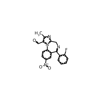 Cc1nc2n(c1C=O)-c1ccc([N+](=O)[O-])cc1C(c1ccccc1F)=NC2